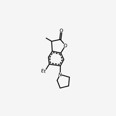 CCc1cc2c(cc1N1CCCC1)OC(=O)C2C